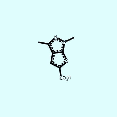 Cc1nn(C)c2sc(C(=O)O)cc12